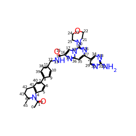 CC(=O)N1c2ccc(-c3ccc(CNC(=O)c4cn5c(N6CCOCC6)nc(-c6cnc(N)nc6)cc5n4)cc3)cc2CC[C@@H]1C